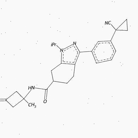 CC(C)n1nc(-c2cccc(C3(C#N)CC3)c2)c2c1CC(C(=O)NC1(C)CC(=S)C1)CC2